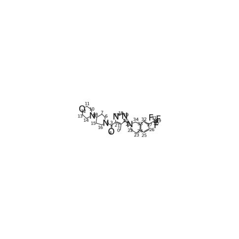 Cc1c(C(=O)N2CCC(N3CCOCC3)CC2)ncnc1N1CCc2ccc(C(F)(F)F)cc2C1